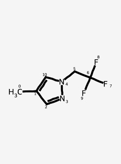 Cc1[c]nn(CC(F)(F)F)c1